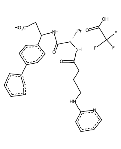 CC(C)[C@H](NC(=O)CCCNc1ccccn1)C(=O)NC(CC(=O)O)c1ccc(-c2ccccc2)cc1.O=C(O)C(F)(F)F